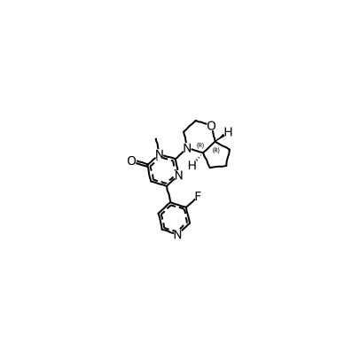 Cn1c(N2CCO[C@@H]3CCC[C@H]32)nc(-c2ccncc2F)cc1=O